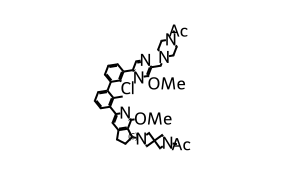 COc1nc(-c2cccc(-c3cccc(-c4cc5c(c(OC)n4)[C@@H](N4CC6(CN(C(C)=O)C6)C4)CC5)c3C)c2Cl)cnc1CN1CCN(C(C)=O)CC1